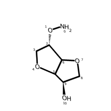 NO[C@H]1COC2C1OC[C@H]2O